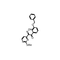 CSc1nccc(C(=NO)C(=O)c2cccc(OCc3ccccc3)c2)n1